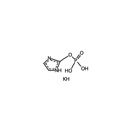 O=P(O)(O)Oc1ncc[nH]1.[KH]